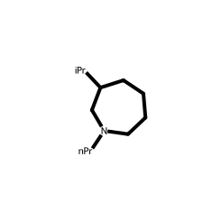 CCCN1CCCCC(C(C)C)C1